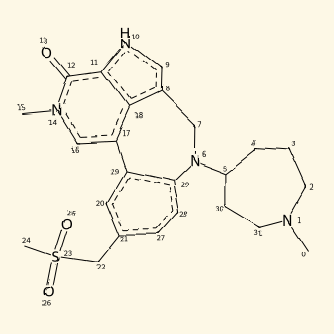 CN1CCCC(N2Cc3c[nH]c4c(=O)n(C)cc(c34)-c3cc(CS(C)(=O)=O)ccc32)CC1